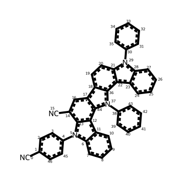 N#Cc1ccc(-n2c3ccccc3c3c2c(C#N)cc2c4ccc5c(c6ccccc6n5-c5ccccc5)c4n(-c4ccccc4)c23)cc1